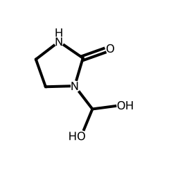 O=C1NCCN1C(O)O